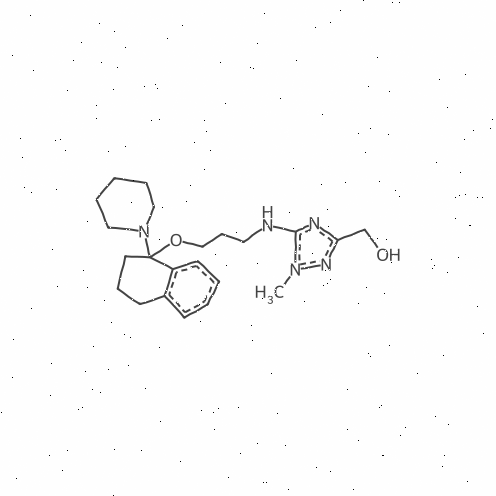 Cn1nc(CO)nc1NCCCOC1(N2CCCCC2)CCCc2ccccc21